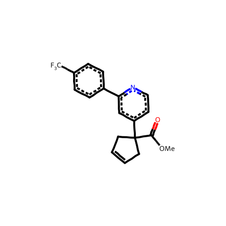 COC(=O)C1(c2ccnc(-c3ccc(C(F)(F)F)cc3)c2)CC=CC1